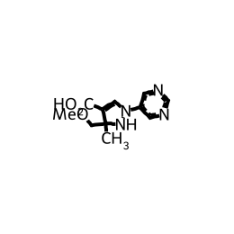 COCC1(C)NN(c2cncnc2)C=C1C(=O)O